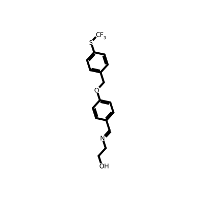 OCCN=Cc1ccc(OCc2ccc(SC(F)(F)F)cc2)cc1